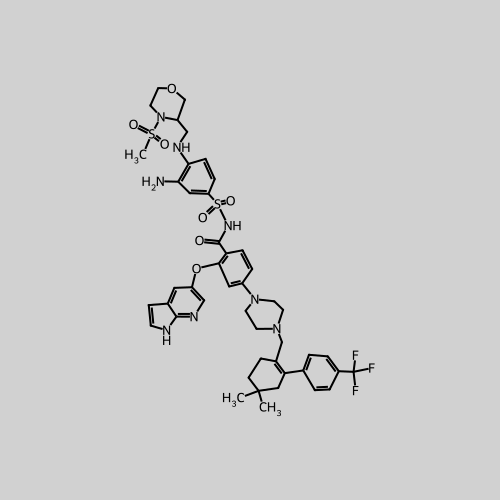 CC1(C)CCC(CN2CCN(c3ccc(C(=O)NS(=O)(=O)c4ccc(NCC5COCCN5S(C)(=O)=O)c(N)c4)c(Oc4cnc5[nH]ccc5c4)c3)CC2)=C(c2ccc(C(F)(F)F)cc2)C1